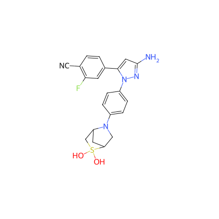 N#Cc1ccc(-c2cc(N)nn2-c2ccc(N3CC4CC3CS4(O)O)cc2)cc1F